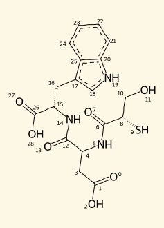 O=C(O)CC(NC(=O)[C@@H](S)CO)C(=O)N[C@@H](Cc1c[nH]c2ccccc12)C(=O)O